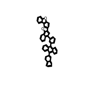 c1cc(-c2c3ccccc3c(-c3ccc4ccccc4c3)c3ccccc23)cc(-c2cc3c4ccc5oc6ccccc6c5c4oc3c3ccccc23)c1